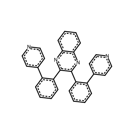 c1ccc(-c2nc3ccccc3nc2-c2ccccc2-c2ccncc2)c(-c2ccncc2)c1